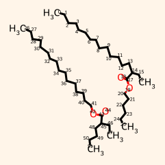 CCCCCCCCCCCCCCC(CC)C(=O)OCCCCCC.CCCCCCCCCCCCCCCCOC(=O)C(CC)CCCC